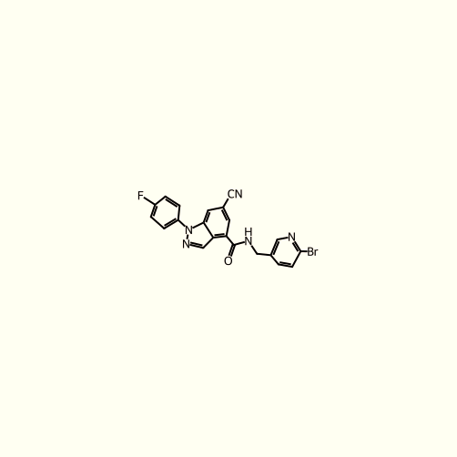 N#Cc1cc(C(=O)NCc2ccc(Br)nc2)c2cnn(-c3ccc(F)cc3)c2c1